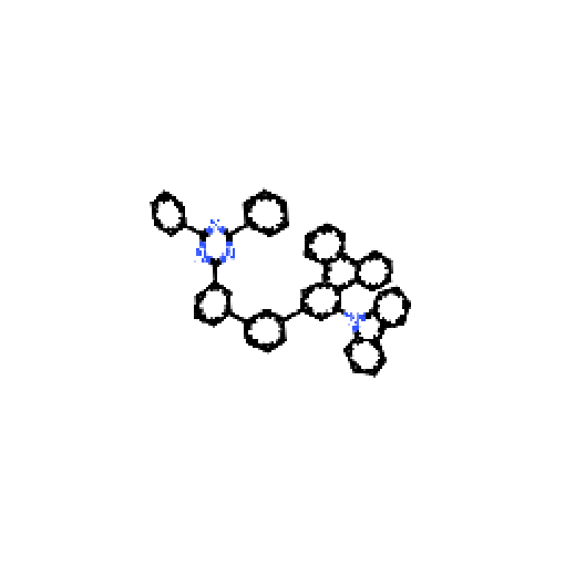 c1ccc(-c2nc(-c3ccccc3)nc(-c3cccc(-c4cccc(-c5cc(-n6c7ccccc7c7ccccc76)c6c7ccccc7c7ccccc7c6c5)c4)c3)n2)cc1